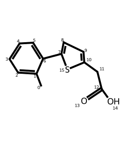 Cc1ccccc1-c1ccc(CC(=O)O)s1